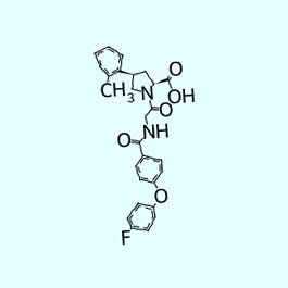 Cc1ccccc1[C@H]1C[C@@H](C(=O)O)N(C(=O)CNC(=O)c2ccc(Oc3ccc(F)cc3)cc2)C1